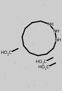 C1CCCCNNNCCCC1.CC(=O)O.CC(=O)O.CC(=O)O